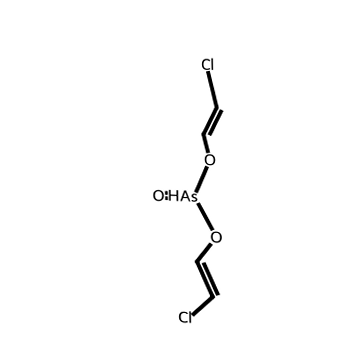 O=[AsH](OC=CCl)OC=CCl